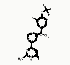 Cc1nc(-c2cc([C@H](C)c3ccc(OC(F)(F)F)c(F)c3)ncn2)cc(=O)[nH]1